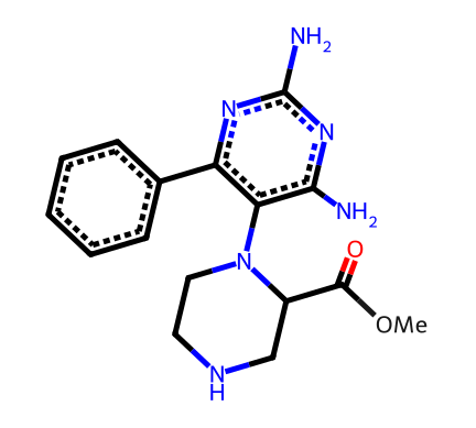 COC(=O)C1CNCCN1c1c(N)nc(N)nc1-c1ccccc1